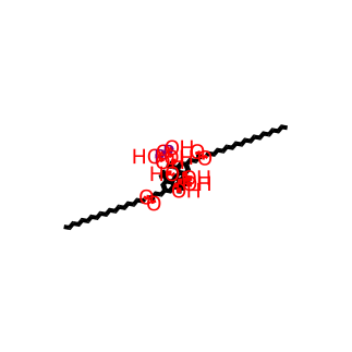 CCCCCCCCCCCCCCCCCCOC(=O)CCc1cc(C(C)(C)C)c(C(O)(c2c(C(C)(C)C)cc(CCC(=O)OCCCCCCCCCCCCCCCCCC)cc2C(C)(C)C)C(CO)(CO)CO)c(C(C)(C)C)c1.OP(O)OP(O)O